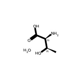 C[C@@H](O)[C@H](N)C(=O)O.O